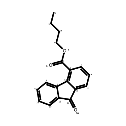 CCCCOC(=O)c1cccc2c1-c1ccccc1C2=O